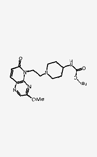 COc1cnc2ccc(=O)n(CCN3CCC(NC(=O)OC(C)(C)C)CC3)c2n1